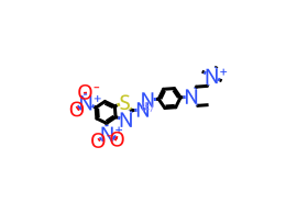 CCN(CC[N+](C)(C)C)c1ccc(/N=N/c2nc3c([N+](=O)[O-])cc([N+](=O)[O-])cc3s2)cc1